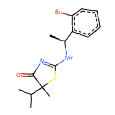 CC(C)C1(C)SC(N[C@@H](C)c2ccccc2Br)=NC1=O